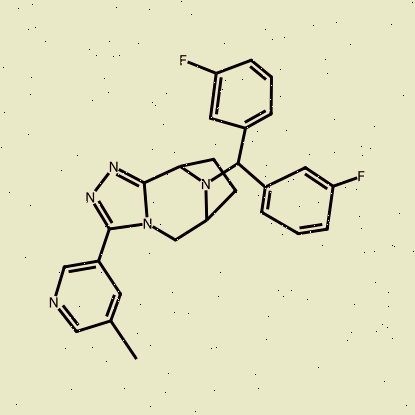 Cc1cncc(-c2nnc3n2CC2CCC3N2C(c2cccc(F)c2)c2cccc(F)c2)c1